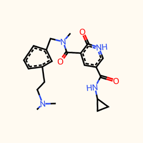 CN(C)CCc1cccc(CN(C)C(=O)c2cc(C(=O)NC3CC3)c[nH]c2=O)c1